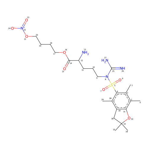 Cc1c(C)c(S(=O)(=O)N(CCCC(N)C(=O)OCCCCO[N+](=O)[O-])C(=N)N)c(C)c2c1OC(C)(C)C2